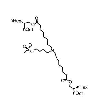 CCCCCCCCC(CCCCCC)COC(=O)CCCCCCCN(CCCCCCCC(=O)OCC(CCCCCC)CCCCCCCC)CCCCOS(C)(=O)=O